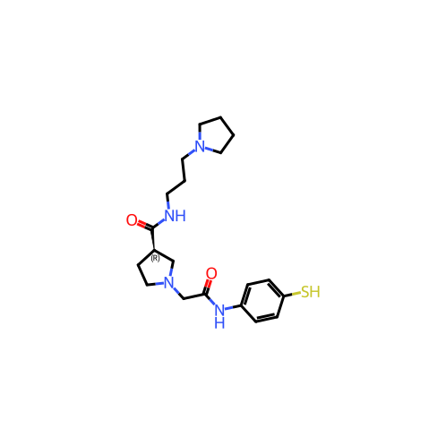 O=C(CN1CC[C@@H](C(=O)NCCCN2CCCC2)C1)Nc1ccc(S)cc1